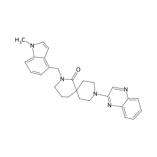 Cn1ccc2c(CN3CCCC4(CCN(c5cnc6ccccc6n5)CC4)C3=O)cccc21